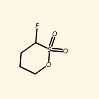 O=S1(=O)OCCCC1F